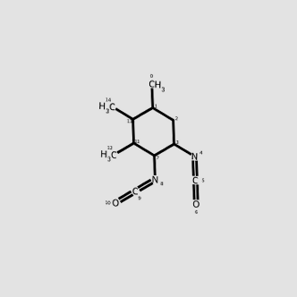 CC1CC(N=C=O)C(N=C=O)C(C)C1C